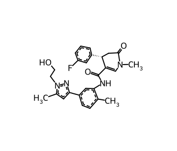 Cc1ccc(-c2cc(C)n(CCO)n2)cc1NC(=O)C1=CN(C)C(=O)C[C@H]1c1cccc(F)c1